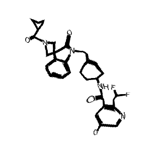 O=C(NC1CCC(CN2C(=O)C3(CN(C(=O)C4CC4)C3)c3ccccc32)CC1)c1cc(Cl)cnc1C(F)F